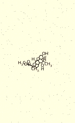 CC[C@@H]1[C@@H]2[C@@H](F)[C@H](O)CC[C@]2(C)C2CC[C@@]3(C)C(CCC3[C@H](C)CCC(=O)OC)C2[C@@H]1O